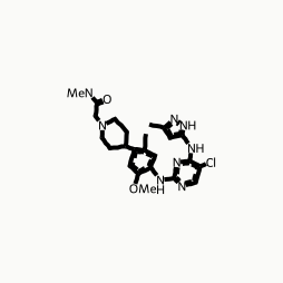 CNC(=O)CN1CCC(c2cc(OC)c(Nc3ncc(Cl)c(Nc4cc(C)n[nH]4)n3)cc2C)CC1